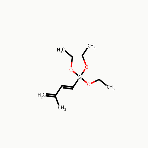 C=C(C)C=C[Si](OCC)(OCC)OCC